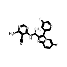 C[C@H](Nc1ncnc(N)c1C#N)c1nc2ccc(F)cn2c1-c1cncc(F)c1